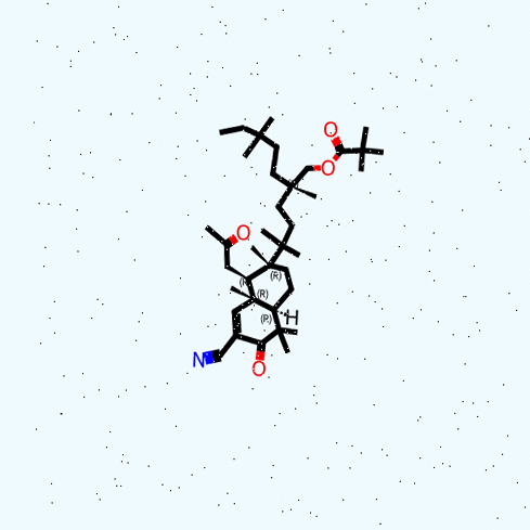 CCC(C)(C)CC[C@@](C)(CCC(C)(C)[C@]1(C)CC[C@H]2C(C)(C)C(=O)C(C#N)=C[C@]2(C)[C@H]1CC(C)=O)COC(=O)C(C)(C)C